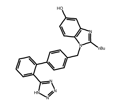 CCCCc1nc2cc(O)ccc2n1Cc1ccc(-c2ccccc2-c2nnn[nH]2)cc1